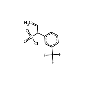 C=CC(c1cccc(C(F)(F)F)c1)S(=O)(=O)Cl